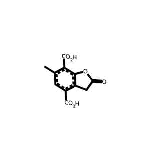 Cc1cc(C(=O)O)c2c(c1C(=O)O)OC(=O)C2